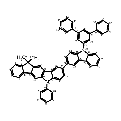 CC1(C)c2ccccc2-c2cc3c(cc21)c1cc(-c2ccc4c(c2)c2ccccc2n4-c2cc(-c4ccccc4)cc(-c4cccnc4)c2)ccc1n3-c1ccccc1